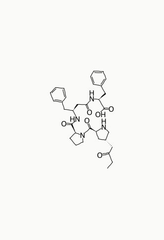 CCC(=O)C[C@H]1CN[C@H](C(=O)N2CCC[C@H]2C(=O)N[C@H](CC(=O)N[C@@H](Cc2ccccc2)C(=O)O)Cc2ccccc2)C1